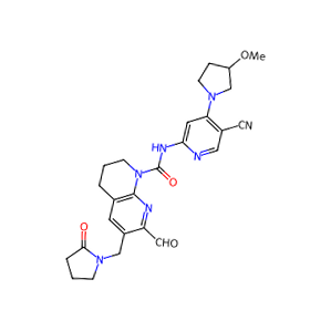 COC1CCN(c2cc(NC(=O)N3CCCc4cc(CN5CCCC5=O)c(C=O)nc43)ncc2C#N)C1